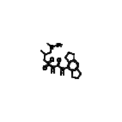 CC(CN(C)C(C)C)CS(=O)(=O)NC(=O)Nc1c2c(cc3c1CCC3)CCC2